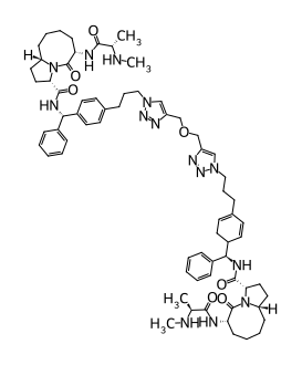 CN[C@@H](C)C(=O)N[C@H]1CCCC[C@H]2CC[C@@H](C(=O)N[C@@H](c3ccccc3)c3ccc(CCCn4cc(COCc5cn(CCCC6=CCC([C@@H](NC(=O)[C@@H]7CC[C@@H]8CCCC[C@H](NC(=O)[C@H](C)NC)C(=O)N87)c7ccccc7)C=C6)nn5)nn4)cc3)N2C1=O